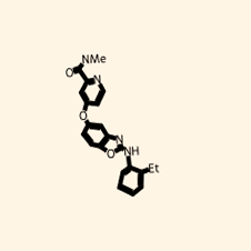 CCc1ccccc1Nc1nc2cc(Oc3ccnc(C(=O)NC)c3)ccc2o1